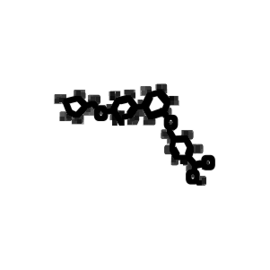 COC(=O)c1ccc(COc2cccc(-c3ccc(OCC4CCCC4)nc3)c2)cc1